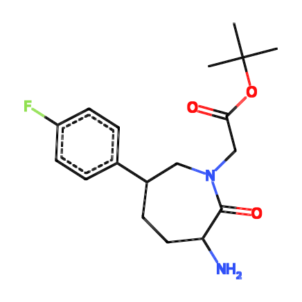 CC(C)(C)OC(=O)CN1CC(c2ccc(F)cc2)CCC(N)C1=O